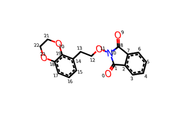 O=C1c2ccccc2C(=O)N1OCCc1cccc2c1OCCO2